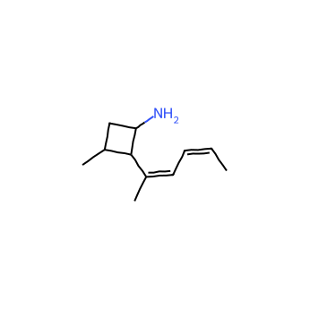 C/C=C\C=C(\C)C1C(C)CC1N